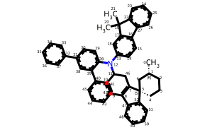 C[C@@H]1CCC[C@@]2(C1)C1=C(C=CC(N(c3ccc4c(c3)C(C)(C)c3ccccc3-4)c3ccc(-c4ccccc4)cc3-c3ccccc3)C1)c1ccccc12